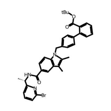 Cc1c(C)n(Cc2ccc(-c3ccccc3C(=O)OC(C)(C)C)cc2)c2ccc(C(=O)N[C@@H](C)c3cccc(Br)n3)cc12